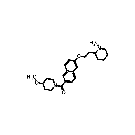 COC1CCN(C(=O)c2ccc3cc(OCCC4CCCCN4C)ccc3c2)CC1